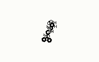 [2H]c1c([2H])c2c(c([2H])c1CC([2H])([2H])N1CCC[C@@H](OC([2H])(c3ccccc3)c3ccccc3)C1)OCO2